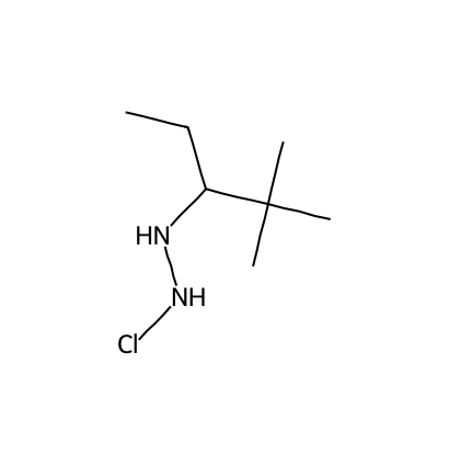 CCC(NNCl)C(C)(C)C